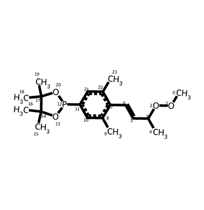 COOC(C)/C=C/c1c(C)cc(P2OC(C)(C)C(C)(C)O2)cc1C